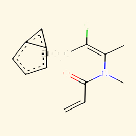 C=CC(=O)N(C)C(C)=C(Cl)C(=O)OCC.c1cc2cc-2c1